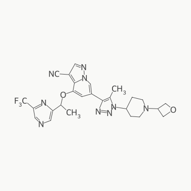 Cc1c(-c2cc(OC(C)c3cncc(C(F)(F)F)n3)c3c(C#N)cnn3c2)nnn1C1CCN(C2COC2)CC1